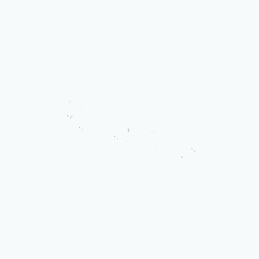 COc1cnc(C)cc1-c1ccc(S(=O)(=O)N2CC[C@@H](Nc3ccc(C)cn3)[C@@H](O)C2)cc1